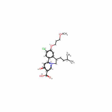 COCCCOc1cc2c(cc1Cl)-c1cc(=O)c(C(=O)O)cn1CC2CCC(C)C